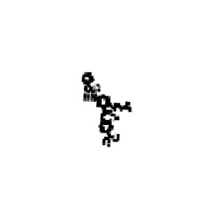 COC(=O)c1ccc(Cc2cn(CC=C(C)C)c3ccc(NC(=O)OC4CCCC4)cc23)c(OC)c1